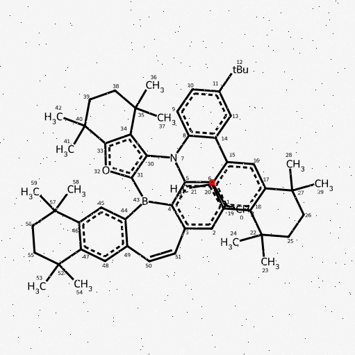 Cc1cc2c3c(c1)N(c1ccc(C(C)(C)C)cc1-c1cc4c(cc1C)C(C)(C)CCC4(C)C)c1c(oc4c1C(C)(C)CCC4(C)C)B3c1cc3c(cc1C=C2)C(C)(C)CCC3(C)C